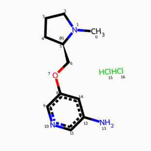 CN1CCC[C@@H]1COc1cncc(N)c1.Cl.Cl